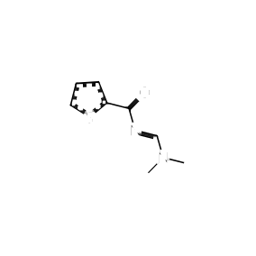 CN(C)/C=N/C(=O)c1cccs1